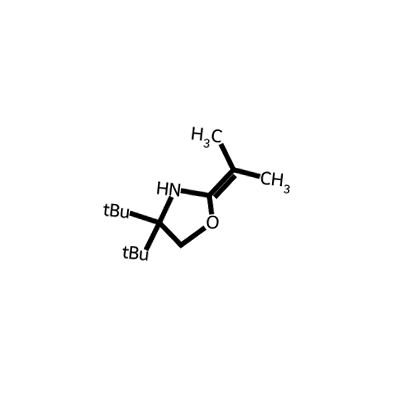 CC(C)=C1NC(C(C)(C)C)(C(C)(C)C)CO1